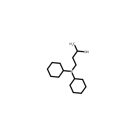 CC(O)CCN(C1CCCCC1)C1CCCCC1